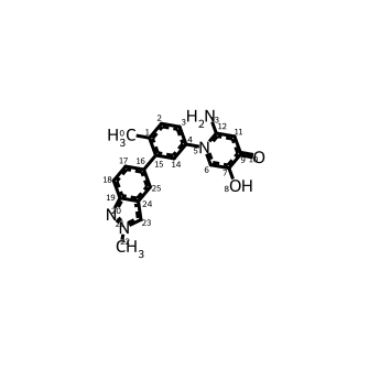 Cc1ccc(-n2cc(O)c(=O)cc2N)cc1-c1ccc2nn(C)cc2c1